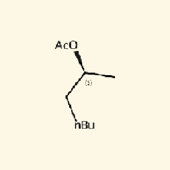 CCCCC[C@H](C)OC(C)=O